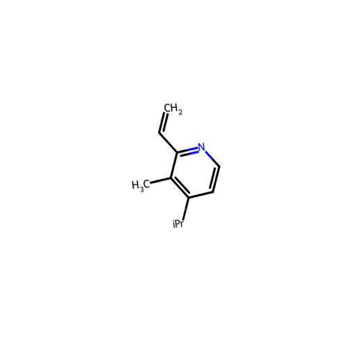 C=Cc1nccc(C(C)C)c1C